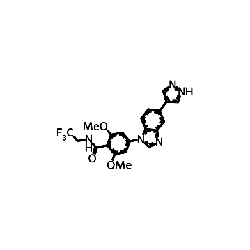 COc1cc(-n2cnc3cc(-c4cn[nH]c4)ccc32)cc(OC)c1C(=O)NCC(F)(F)F